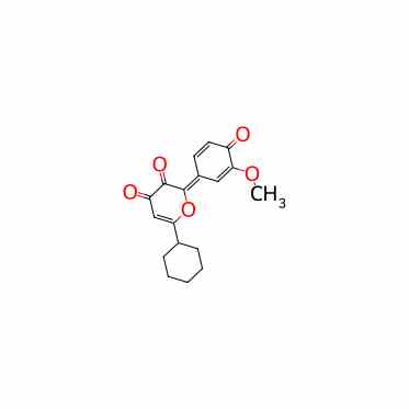 COC1=C/C(=C2\OC(C3CCCCC3)=CC(=O)C2=O)C=CC1=O